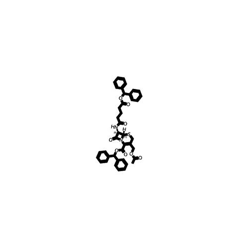 CC(=O)OCC1=C(C(=O)OC(c2ccccc2)c2ccccc2)N2C(=O)[C@@H](NC(=O)CCCC(=O)OC(c3ccccc3)c3ccccc3)[C@@H]2SC1